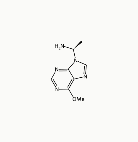 COc1ncnc2c1ncn2[C@H](C)N